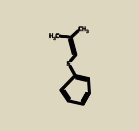 CC(C)=CSc1ccccc1